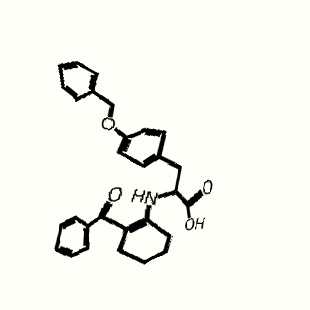 O=C(C1=C(NC(Cc2ccc(OCc3ccccc3)cc2)C(=O)O)CCCC1)c1ccccc1